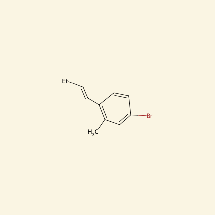 CC/C=C/c1ccc(Br)cc1C